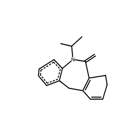 C=C1C2=C(C=CCC2)Cc2ccccc2N1C(C)C